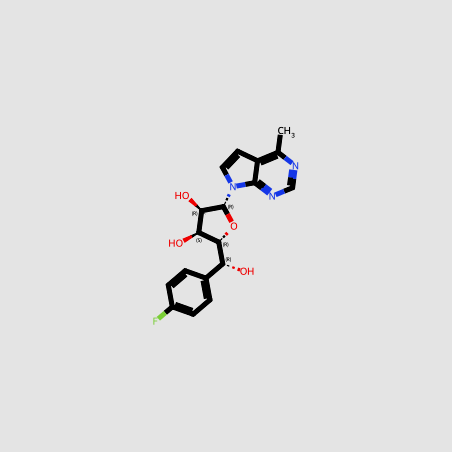 Cc1ncnc2c1ccn2[C@@H]1O[C@H]([C@H](O)c2ccc(F)cc2)[C@@H](O)[C@H]1O